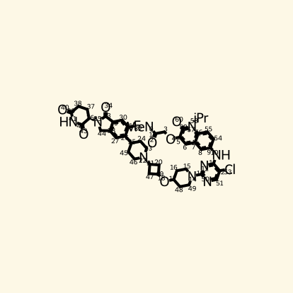 CNC(=O)COc1cc2cc(Nc3nc(N4CCC(OC5CC(N6CCC(c7cc8c(cc7F)C(=O)N([C@@H]7CCC(=O)NC7=O)C8)CC6)C5)CC4)ncc3Cl)ccc2n(C(C)C)c1=O